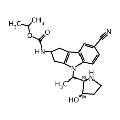 CC(C)OC(=O)NC1Cc2c(n(C(C)[C@H]3NCC[C@H]3O)c3ccc(C#N)cc23)C1